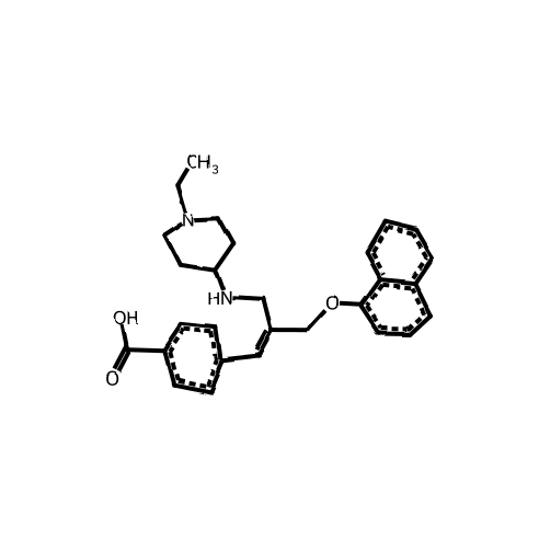 CCN1CCC(NC/C(=C\c2ccc(C(=O)O)cc2)COc2cccc3ccccc23)CC1